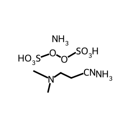 CN(C)CCC#N.N.N.O=S(=O)(O)OOS(=O)(=O)O